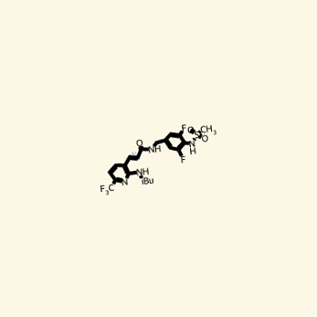 CCC(C)Nc1nc(C(F)(F)F)ccc1/C=C/C(=O)NCc1cc(F)c(NS(C)(=O)=O)c(F)c1